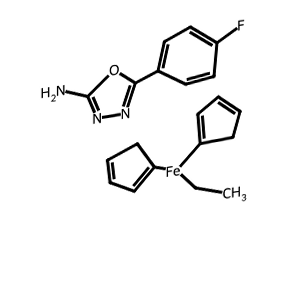 C[CH2][Fe]([C]1=CC=CC1)[C]1=CC=CC1.Nc1nnc(-c2ccc(F)cc2)o1